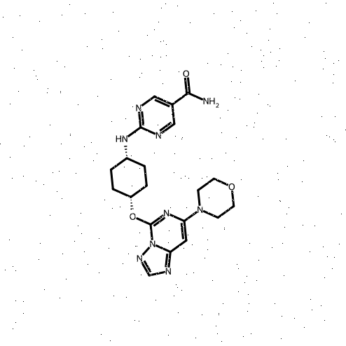 NC(=O)c1cnc(N[C@H]2CC[C@@H](Oc3nc(N4CCOCC4)cc4ncnn34)CC2)nc1